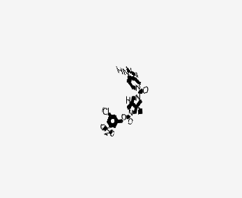 C=C[C@]12CN(C(=O)OCc3cc(Cl)cc(S(C)(=O)=O)c3)C[C@@H]1CN(C(=O)N1CCc3[nH]nnc3C1)C2